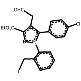 CCOC(=O)c1nn(-c2ccccc2CI)c(-c2ccc(Cl)cc2)c1CC=O